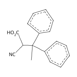 CC(c1ccccc1)(c1ccccc1)C(C#N)C(=O)O